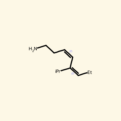 CC/C=C(\C=C/CCN)C(C)C